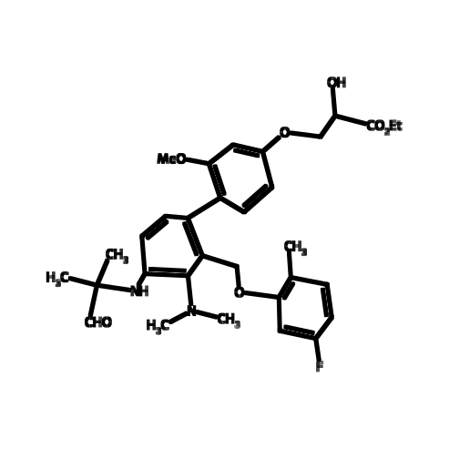 CCOC(=O)C(O)COc1ccc(-c2ccc(NC(C)(C)C=O)c(N(C)C)c2COc2cc(F)ccc2C)c(OC)c1